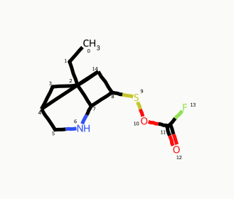 CCC12CC3CNC1C(SOC(=O)F)C32